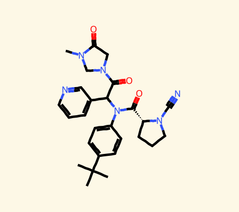 CN1CN(C(=O)C(c2cccnc2)N(C(=O)[C@H]2CCCN2C#N)c2ccc(C(C)(C)C)cc2)CC1=O